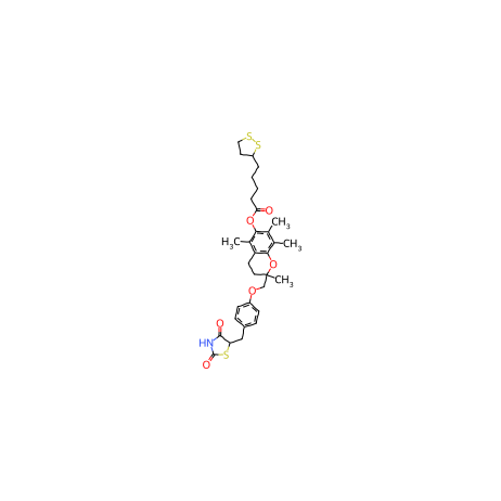 Cc1c(C)c2c(c(C)c1OC(=O)CCCCC1CCSS1)CCC(C)(COc1ccc(CC3SC(=O)NC3=O)cc1)O2